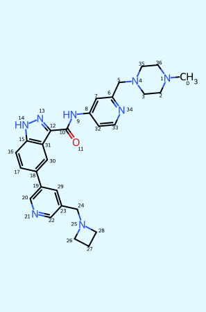 CN1CCN(Cc2cc(NC(=O)c3n[nH]c4ccc(-c5cncc(CN6CCC6)c5)cc34)ccn2)CC1